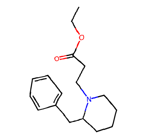 CCOC(=O)CCN1CCCCC1Cc1ccccc1